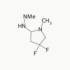 CNNC1CC(F)(F)CN1C